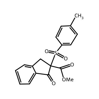 COC(=O)C1(S(=O)(=O)c2ccc(C)cc2)Cc2ccccc2C1=O